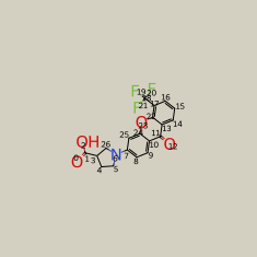 O=C(O)C1CCN(c2ccc3c(=O)c4cccc(C(F)(F)F)c4oc3c2)C1